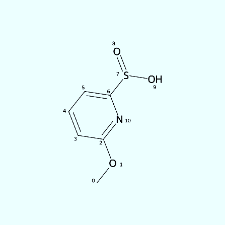 COc1cccc(S(=O)O)n1